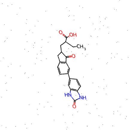 CCC(CC1Cc2ccc(-c3ccc4[nH]c(=O)[nH]c4c3)cc2C1=O)C(=O)O